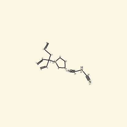 C=CCC(C=C)(C=C)N1CCCC1.N#CNC#N